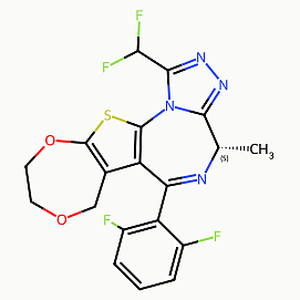 C[C@@H]1N=C(c2c(F)cccc2F)c2c(sc3c2COCCO3)-n2c(C(F)F)nnc21